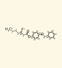 CCCC[C@@H](F)CC(=O)Oc1ccc(OCc2ccccc2)cc1